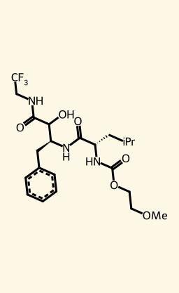 COCCOC(=O)N[C@@H](CC(C)C)C(=O)N[C@@H](Cc1ccccc1)C(O)C(=O)NCC(F)(F)F